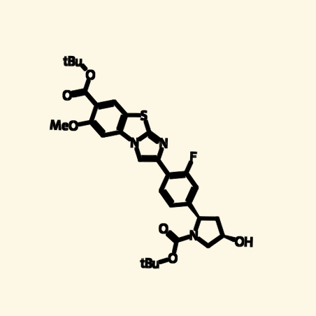 COc1cc2c(cc1C(=O)OC(C)(C)C)sc1nc(-c3ccc([C@H]4C[C@@H](O)CN4C(=O)OC(C)(C)C)cc3F)cn12